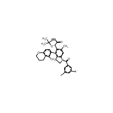 Cc1cc2c(c(-c3ccc4c(c3C)CCCO4)c1[C@H](OC(C)(C)C)C(=O)O)CCN2C(=O)c1cc(F)cc(F)c1